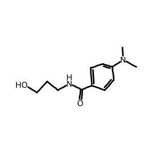 CN(C)c1ccc(C(=O)NCCCO)cc1